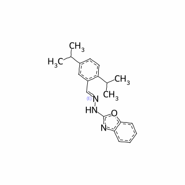 CC(C)c1ccc(C(C)C)c(/C=N/Nc2nc3ccccc3o2)c1